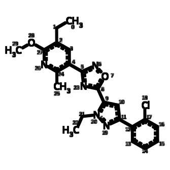 CCc1cc(-c2noc(-c3cc(-c4ccccc4Cl)nn3CC)n2)c(C)nc1OC